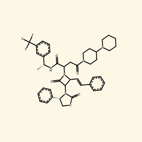 C[C@@H](NC(=O)C(CC(=O)N1CCC(N2CCCCC2)CC1)N1C(=O)C(N2C(=O)OC[C@@H]2c2ccccc2)C1C=Cc1ccccc1)c1cccc(C(F)(F)F)c1